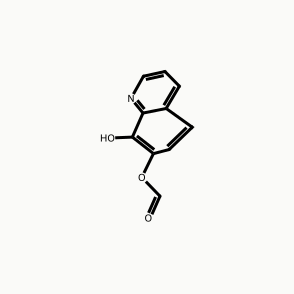 O=COc1ccc2cccnc2c1O